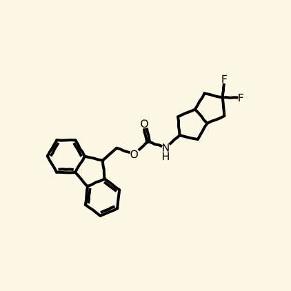 O=C(NC1CC2CC(F)(F)CC2C1)OCC1c2ccccc2-c2ccccc21